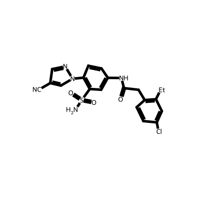 CCc1cc(Cl)ccc1CC(=O)Nc1ccc(-n2cc(C#N)cn2)c(S(N)(=O)=O)c1